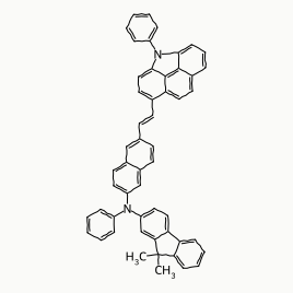 CC1(C)c2ccccc2-c2ccc(N(c3ccccc3)c3ccc4cc(/C=C/c5ccc6c7c5ccc5cccc(c57)n6-c5ccccc5)ccc4c3)cc21